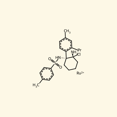 Cc1ccc(S(=O)(=O)N[C@@]2(c3ccc(C)cc3C(C)C)CCCC[C@@]2(N)Cl)cc1.[Ru+2]